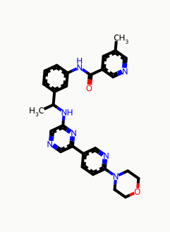 Cc1cncc(C(=O)Nc2cccc(C(C)Nc3cncc(-c4ccc(N5CCOCC5)nc4)n3)c2)c1